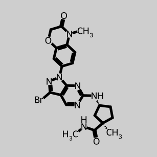 CNC(=O)[C@]1(C)CC[C@@H](Nc2ncc3c(Br)nn(-c4ccc5c(c4)OCC(=O)N5C)c3n2)C1